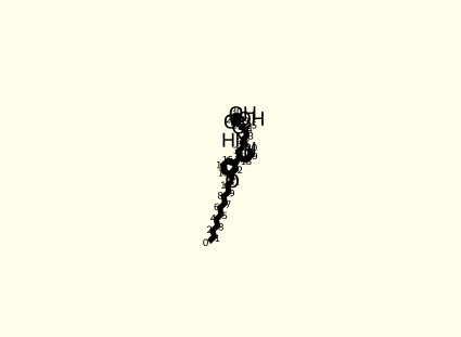 CCCCCCCCCCCOc1cccc(-c2ccnc(NC[C@H](C)OP(=O)(O)O)c2)c1